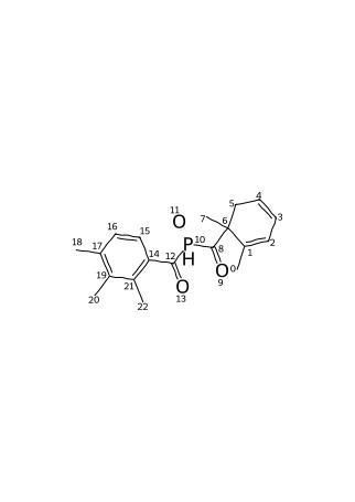 CC1=CC=CCC1(C)C(=O)[PH](=O)C(=O)c1ccc(C)c(C)c1C